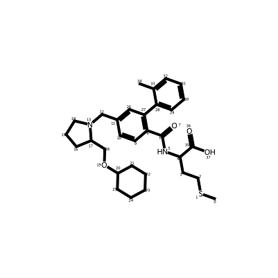 CSCCC(NC(=O)c1ccc(CN2CCCC2COC2CCCCC2)cc1-c1ccccc1C)C(=O)O